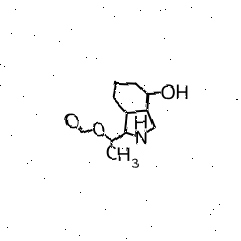 CC(OC=O)C1NCC2C(O)CCCC21